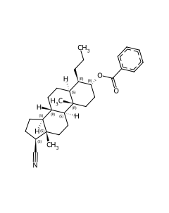 CCC[C@H]1[C@H](OC(=O)c2ccccc2)CC[C@]2(C)[C@H]3CC[C@]4(C)[C@@H](C#N)CC[C@H]4[C@@H]3CC[C@@H]12